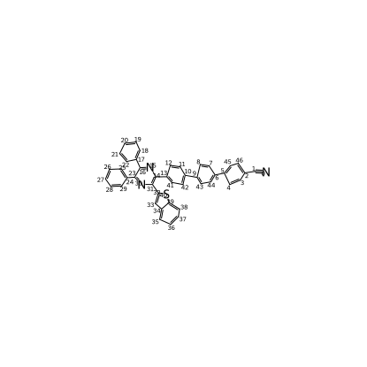 N#Cc1ccc(-c2ccc(-c3ccc(-c4nc(-c5ccccc5)c(-c5ccccc5)nc4-c4cc5ccccc5s4)cc3)cc2)cc1